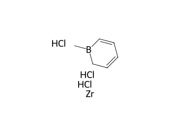 CB1C=CC=CC1.Cl.Cl.Cl.[Zr]